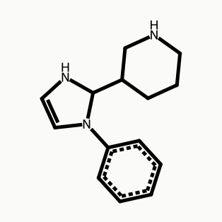 C1=CN(c2ccccc2)C(C2CCCNC2)N1